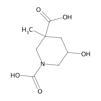 CC1(C(=O)O)CC(O)CN(C(=O)O)C1